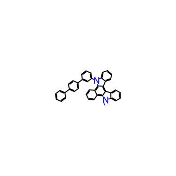 Cn1c2ccccc2c2c3c4ccccc4n(-c4cccc(-c5ccc(-c6ccccc6)cc5)c4)c3c3ccccc3c21